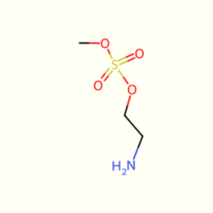 COS(=O)(=O)OCCN